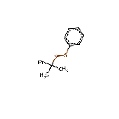 CC(C)C(C)(C)SSc1ccccc1